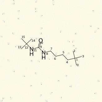 CC(C)(C)CCCCNC(=O)NC(C)(C)C